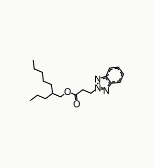 CCCCCC(CCC)COC(=O)CCn1nc2ccccc2n1